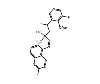 COc1c(F)cccc1C(C)CC(O)(/C=N\c1cccc2nc(C)ncc12)C(F)(F)F